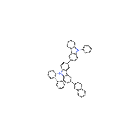 c1ccc(-c2ccccc2-n2c3ccc(-c4ccc5ccccc5c4)cc3c3cc(-c4ccc5c(c4)c4ccccc4n5-c4ccccc4)ccc32)cc1